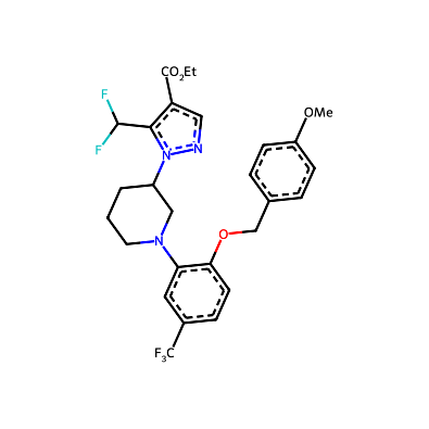 CCOC(=O)c1cnn(C2CCCN(c3cc(C(F)(F)F)ccc3OCc3ccc(OC)cc3)C2)c1C(F)F